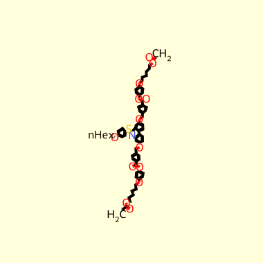 C=CC(=O)OCCCCCCOc1ccc(OC(=O)c2ccc(COc3ccc4c(c3)nc(Sc3ccc(OCCCCCC)cc3)c3cc(OCc5ccc(C(=O)Oc6ccc(OCCCCCCOC(=O)C=C)cc6)cc5)ccc34)cc2)cc1